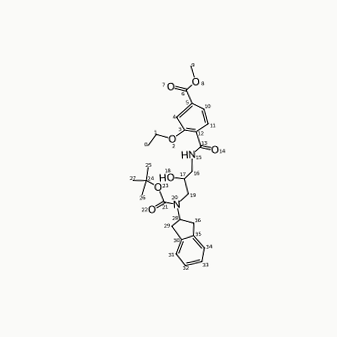 CCOc1cc(C(=O)OC)ccc1C(=O)NCC(O)CN(C(=O)OC(C)(C)C)C1Cc2ccccc2C1